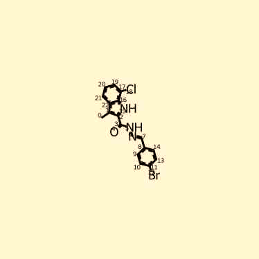 Cc1c(C(=O)NN=Cc2ccc(Br)cc2)[nH]c2c(Cl)cccc12